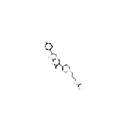 N=C(N)NCCCN1CC=C(c2cn3c(nc2=O)NC(c2ccc(F)cc2)C3)CC1